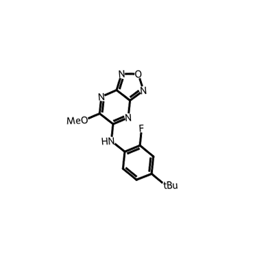 COc1nc2nonc2nc1Nc1ccc(C(C)(C)C)cc1F